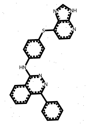 c1ccc(-c2nnc(Nc3ccc(Sc4ccnc5[nH]cnc45)cc3)c3ccccc23)cc1